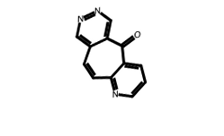 O=c1c2cnncc2ccc2ncccc12